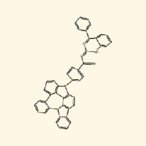 N=C(/N=c1/nc(-c2ccccc2)c2ccccc2[nH]1)c1ccc(-n2c3cccc4c5ccccc5n5c6ccccc6c6ccc2c(c43)c65)cc1